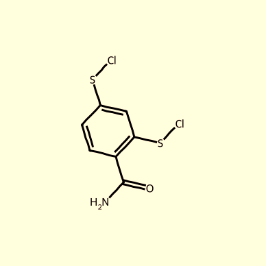 NC(=O)c1ccc(SCl)cc1SCl